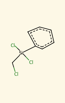 ClC[Si](Cl)(Cl)c1ccccc1